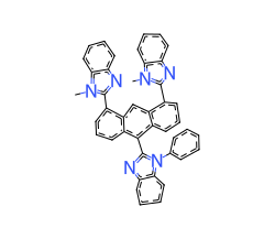 Cn1c(-c2cccc3c(-c4nc5ccccc5n4-c4ccccc4)c4cccc(-c5nc6ccccc6n5C)c4cc23)nc2ccccc21